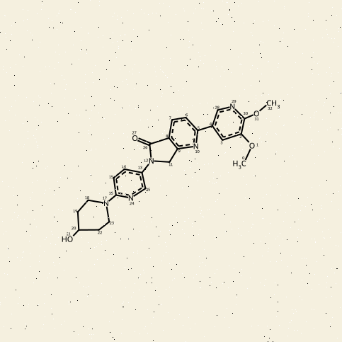 COc1cc(-c2ccc3c(n2)CN(c2ccc(N4CCC(O)CC4)nc2)C3=O)cnc1OC